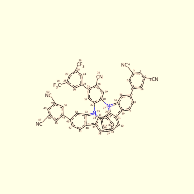 N#Cc1cc(C#N)cc(-c2ccc3c4ccccc4n(-c4cc(C#N)c(-c5cc(C(F)(F)F)cc(C(F)(F)F)c5)cc4-n4c5ccccc5c5ccc(-c6cc(C#N)cc(C#N)c6)cc54)c3c2)c1